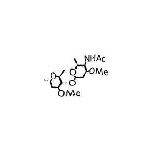 CO[C@H]1C[C@H](O[C@H]2[C@H](C)O[C@@H](C)C[C@@H]2OC)O[C@@H](C)[C@H]1NC(C)=O